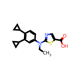 CCN(c1ccc(C2CC2)c(C2CC2)c1)c1ncc(C(=O)O)s1